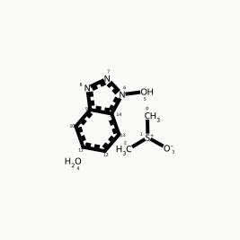 C[S+](C)[O-].O.On1nnc2ccccc21